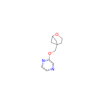 c1cnc(OCC23CCOC(C2)C3)cn1